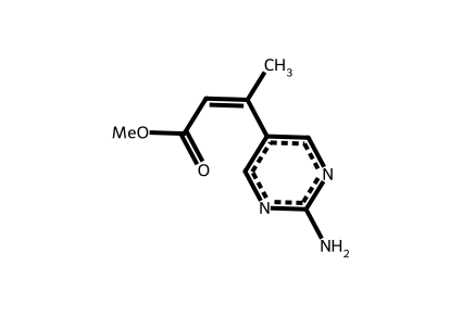 COC(=O)/C=C(/C)c1cnc(N)nc1